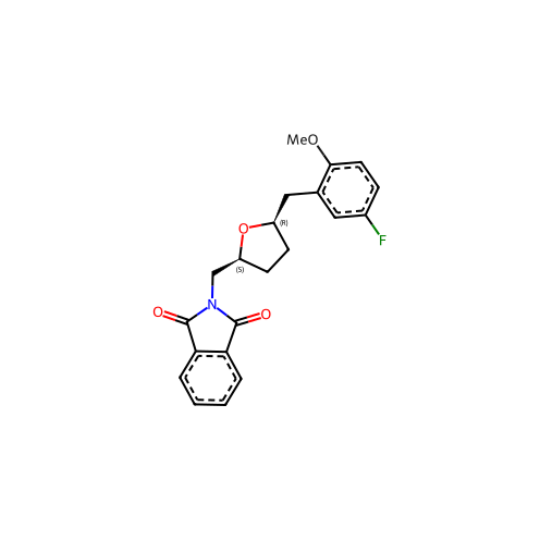 COc1ccc(F)cc1C[C@H]1CC[C@@H](CN2C(=O)c3ccccc3C2=O)O1